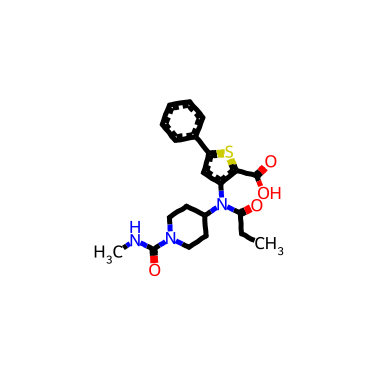 CCC(=O)N(c1cc(-c2ccccc2)sc1C(=O)O)C1CCN(C(=O)NC)CC1